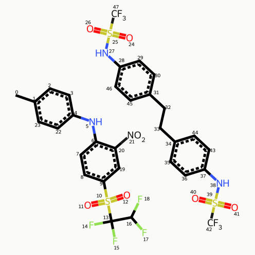 Cc1ccc(Nc2ccc(S(=O)(=O)C(F)(F)C(F)F)cc2[N+](=O)[O-])cc1.O=S(=O)(Nc1ccc(CCc2ccc(NS(=O)(=O)C(F)(F)F)cc2)cc1)C(F)(F)F